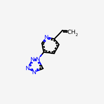 C=Cc1ccc(-n2cnnn2)cn1